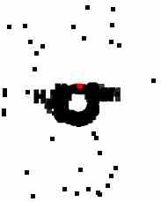 Nc1ncc2nc1C(=O)Nc1ccccc1OCCOCCOCCN(CCO)[S+]([O-])c1ccc-2cc1